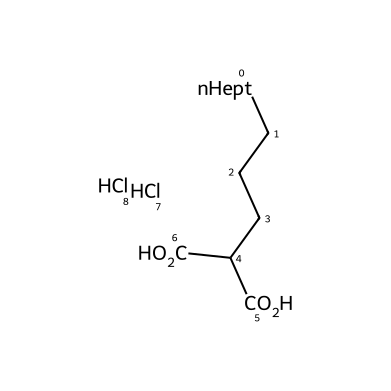 CCCCCCCCCCC(C(=O)O)C(=O)O.Cl.Cl